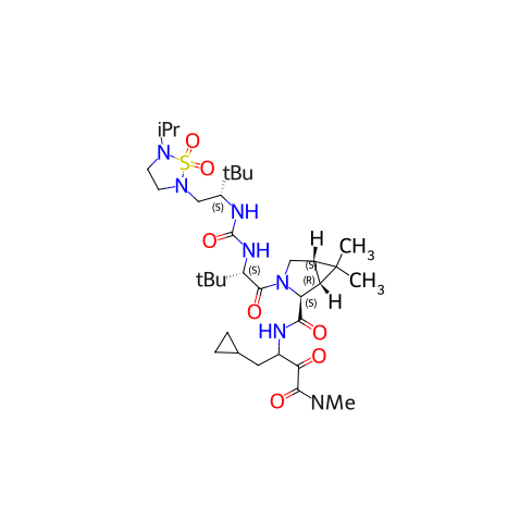 CNC(=O)C(=O)C(CC1CC1)NC(=O)[C@@H]1[C@@H]2[C@H](CN1C(=O)[C@@H](NC(=O)N[C@H](CN1CCN(C(C)C)S1(=O)=O)C(C)(C)C)C(C)(C)C)C2(C)C